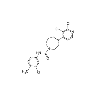 Cc1ccc(NC(=O)N2CCCN(c3ccnc(Cl)c3Cl)CC2)cc1Cl